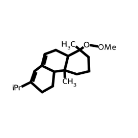 COOC1(C)CCCC2(C)C3CCC(C(C)C)=CC3=CCC12